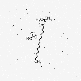 CCCCCCCCCCCCCCCC(=O)OC(C)C.O=[N+]([O-])O